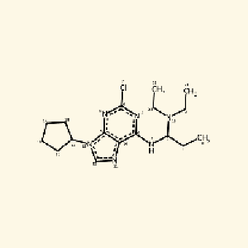 CCC(Nc1nc(Cl)nc2c1ncn2C1CCCC1)N(CC)CC